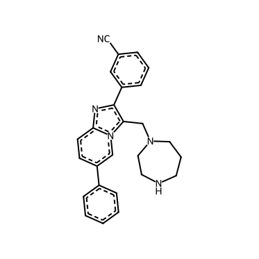 N#Cc1cccc(-c2nc3ccc(-c4ccccc4)cn3c2CN2CCCNCC2)c1